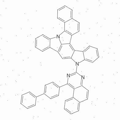 c1ccc(-c2ccc(-c3nc(-n4c5ccccc5c5c6c7ccc8ccccc8c7n7c8ccccc8c(cc54)c67)nc4ccc5ccccc5c34)cc2)cc1